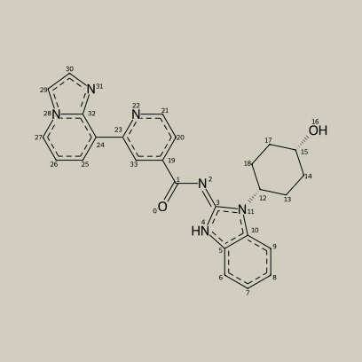 O=C(/N=c1\[nH]c2ccccc2n1[C@H]1CC[C@@H](O)CC1)c1ccnc(-c2cccn3ccnc23)c1